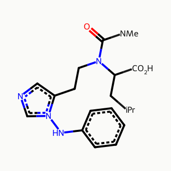 CNC(=O)N(CCc1cncn1Nc1ccccc1)C(CC(C)C)C(=O)O